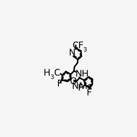 CNC(=O)C(NC(CCc1ccc(C(F)(F)F)nc1)c1ccc(F)c(C)c1)c1cccc(F)c1F